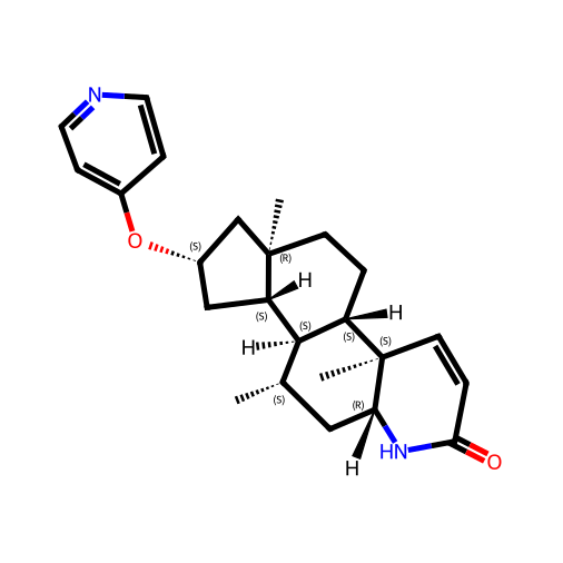 C[C@H]1C[C@H]2NC(=O)C=C[C@]2(C)[C@H]2CC[C@]3(C)C[C@@H](Oc4ccncc4)C[C@H]3[C@H]12